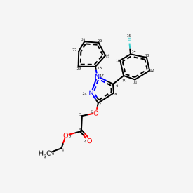 CCOC(=O)COc1cc(-c2cccc(F)c2)n(-c2ccccc2)n1